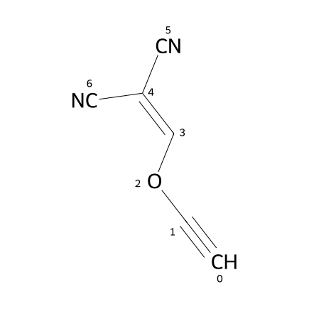 C#COC=C(C#N)C#N